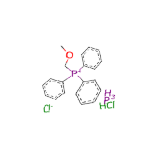 COC[P+](c1ccccc1)(c1ccccc1)c1ccccc1.Cl.P.[Cl-]